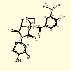 N#Cc1ccc(N2C(=O)C3C[N@]4CC(C(=O)c5ccc(Cl)c([N+](=O)O)c5)[N+]3(C4)C2=O)cc1I